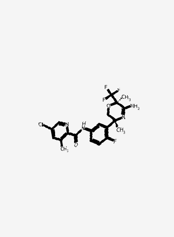 Cc1cc(Cl)cnc1C(=O)Nc1ccc(F)c([C@]2(C)CO[C@@](C)(C(F)(F)F)C(N)=N2)c1